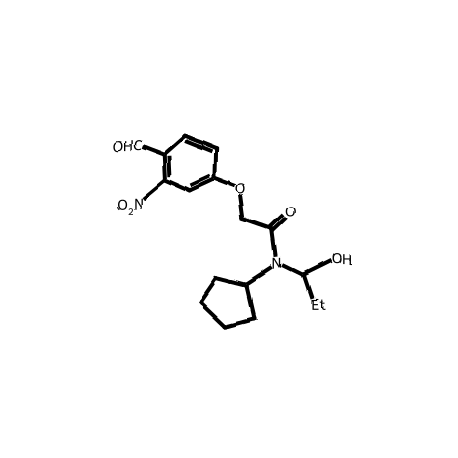 CCC(O)N(C(=O)COc1ccc(C=O)c([N+](=O)[O-])c1)C1CCCC1